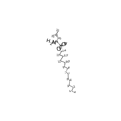 CCCCCCCCCCCCCCCOC(=O)[C@@H](N)CC(C)C